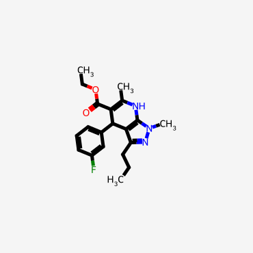 CCCc1nn(C)c2c1C(c1cccc(F)c1)C(C(=O)OCC)=C(C)N2